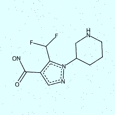 O=NC(=O)c1cnn(C2CCCNC2)c1C(F)F